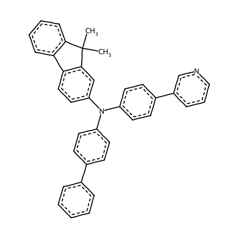 CC1(C)c2ccccc2-c2ccc(N(c3ccc(-c4ccccc4)cc3)c3ccc(-c4cccnc4)cc3)cc21